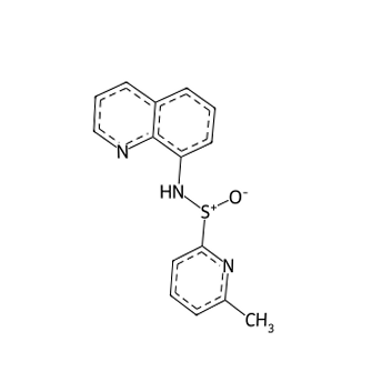 Cc1cccc([S+]([O-])Nc2cccc3cccnc23)n1